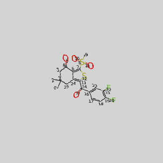 CC1(C)CC(=O)c2c(S(C)(=O)=O)sc(C(=O)c3ccc(F)c(F)c3)c2C1